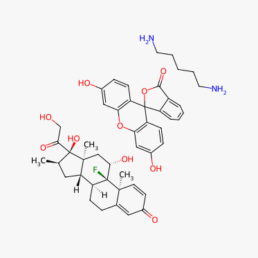 C[C@@H]1C[C@H]2[C@@H]3CCC4=CC(=O)C=C[C@]4(C)[C@@]3(F)[C@@H](O)C[C@]2(C)[C@@]1(O)C(=O)CO.NCCCCCN.O=C1OC2(c3ccc(O)cc3Oc3cc(O)ccc32)c2ccccc21